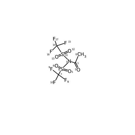 CC(=O)N(S(=O)(=O)C(F)(F)F)S(=O)(=O)C(F)(F)F